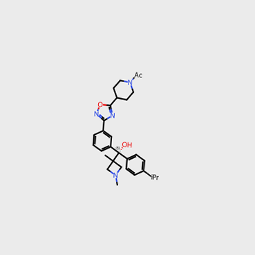 CC(=O)N1CCC(c2nc(-c3cccc([C@@](O)(c4ccc(C(C)C)cc4)C4(C)CN(C)C4)c3)no2)CC1